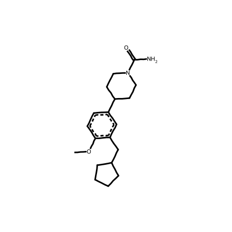 COc1ccc(C2CCN(C(N)=O)CC2)cc1CC1CCCC1